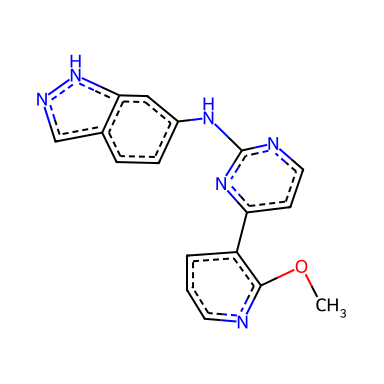 COc1ncccc1-c1ccnc(Nc2ccc3cn[nH]c3c2)n1